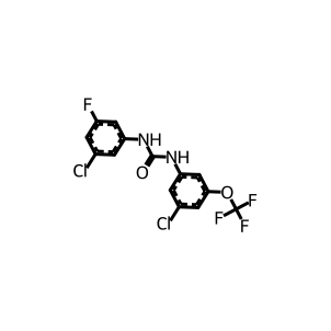 O=C(Nc1cc(F)cc(Cl)c1)Nc1cc(Cl)cc(OC(F)(F)F)c1